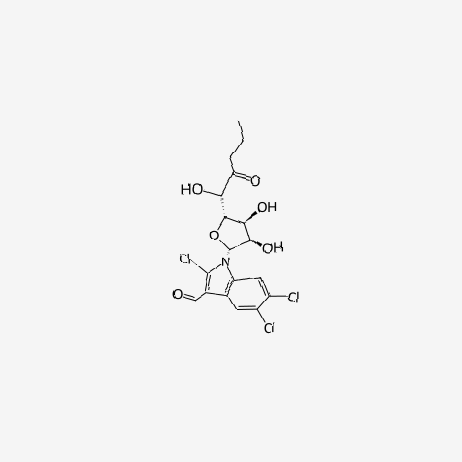 CCCC(=O)C(O)[C@H]1O[C@@H](n2c(Cl)c(C=O)c3cc(Cl)c(Cl)cc32)[C@H](O)[C@@H]1O